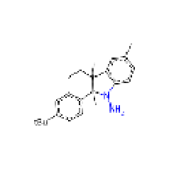 Cc1ccc2c(c1)C1(C)CCc3cc(C(C)(C)C)ccc3C1(C)N2N